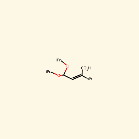 CCCC(=CC(OC(C)C)OC(C)C)C(=O)O